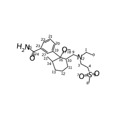 CCN(CCS(C)(=O)=O)CC1CCCC(C)C1(OC)c1cccc(C(N)=O)c1